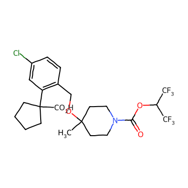 CC1(OCc2ccc(Cl)cc2C2(C(=O)O)CCCC2)CCN(C(=O)OC(C(F)(F)F)C(F)(F)F)CC1